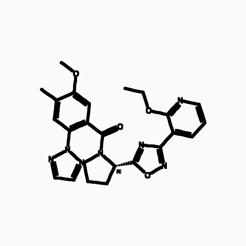 CCOc1ncccc1-c1noc([C@@H]2CCCN2C(=O)c2cc(OC)c(C)cc2-n2nccn2)n1